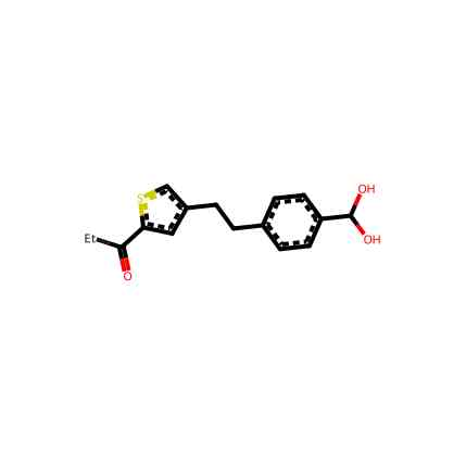 CCC(=O)c1cc(CCc2ccc(C(O)O)cc2)cs1